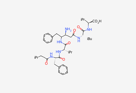 CC[C@H](C)[C@H](NC(=O)C[C@H](N)C(Cc1ccccc1)NC(=O)[C@@H](NC(=O)[C@H](Cc1ccccc1)NC(=O)CC(C)C)C(C)C)C(=O)N[C@H](C(=O)O)C(C)C